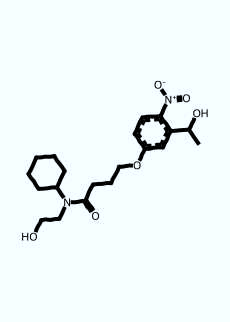 CC(O)c1cc(OCCCC(=O)N(CCO)C2CCCCC2)ccc1[N+](=O)[O-]